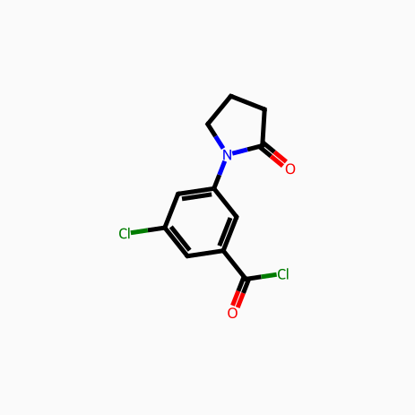 O=C(Cl)c1cc(Cl)cc(N2CCCC2=O)c1